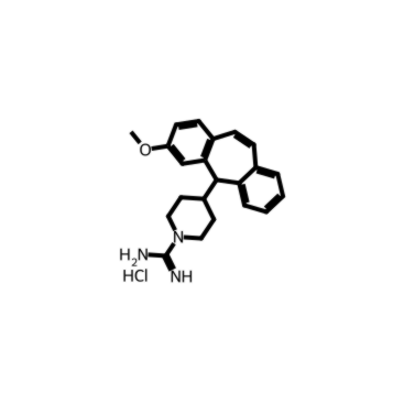 COc1ccc2c(c1)C(C1CCN(C(=N)N)CC1)c1ccccc1C=C2.Cl